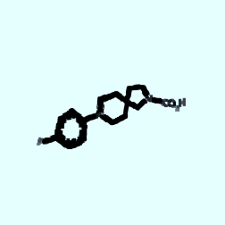 O=C(O)N1CCC2(CCN(c3ccc(F)cc3)CC2)C1